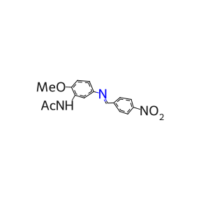 COc1ccc(N=Cc2ccc([N+](=O)[O-])cc2)cc1NC(C)=O